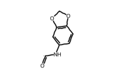 O=[C]Nc1ccc2c(c1)OCO2